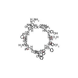 CC(C)C[C@H]1NC(=O)[C@H](C)N(C)C(=O)C(CCC(N)=O)NC(=O)C(Cc2ccc(-c3ccccc3)cc2)NC(=O)[C@H](CCc2ccccc2)NC(=O)[C@H](Cc2cccc(C(F)(F)F)c2)NC(=O)[C@H](CC(=O)O)NC(=O)[C@H](Cc2ccc(O)cc2)NC(=O)C([C@@H](C)N)NC(=O)CSC[C@@H](C(=O)N[C@@H](CCN)C(N)=O)NC(=O)C(CCC(N)=O)NC(=O)C(C(C)C)NC(=O)C(CC2CCCCC2)NC(=O)[C@H](CCN)NC1=O